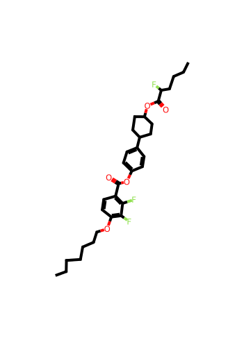 CCCCCCCOc1ccc(C(=O)Oc2ccc(C3CCC(OC(=O)C(F)CCCC)CC3)cc2)c(F)c1F